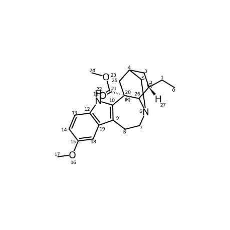 CC[C@H]1CC2CN3CCc4c([nH]c5ccc(OC)cc45)[C@@](C(=O)OC)(C2)C13